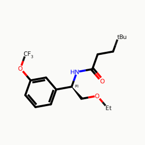 CCOC[C@H](NC(=O)CCC(C)(C)C)c1cccc(OC(F)(F)F)c1